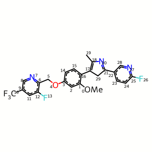 COc1cc(OCc2ncc(C(F)(F)F)cc2F)ccc1C1=C(C)N=C(c2ccc(F)nc2)C1